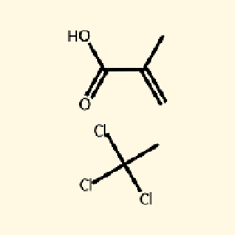 C=C(C)C(=O)O.CC(Cl)(Cl)Cl